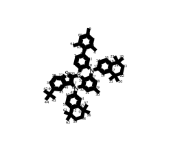 Cc1cc(C)c(-c2ccc3c(c2)N(c2ccc4c(c2)C(C)(C)CCC4(C)C)c2cc(C)cc4c2B3c2sc3ccc(C(C)(C)C)cc3c2N4c2ccc3c(c2)C(C)(C)CCC3(C)C)c(C)c1